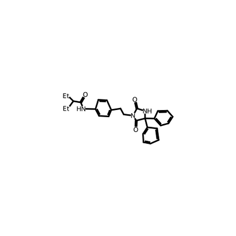 CCC(CC)C(=O)Nc1ccc(CCN2C(=O)NC(c3ccccc3)(c3ccccc3)C2=O)cc1